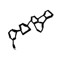 N#Cc1cccc(-c2ccc(-c3ccc4c5c(cccc35)-c3ccccc3-4)cc2)c1